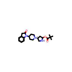 CC(C)(C)C(=O)OC1C[C@H](N2CCC(N3C(=O)Cc4ccccc43)CC2)CN1